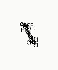 O=C(Nc1ccc(N2CCN(S(=O)(=O)c3c(Cl)cc(Cl)cc3Cl)CC2)nc1)c1oc(N2CCCCC2)nc1C(F)(F)F